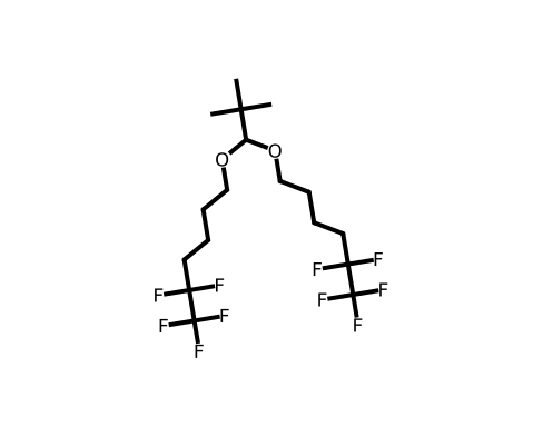 CC(C)(C)C(OCCCCC(F)(F)C(F)(F)F)OCCCCC(F)(F)C(F)(F)F